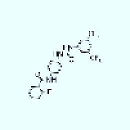 O=C(Nc1ccc(NC(=O)c2ccccc2F)cc1)Nc1cc(C(F)(F)F)cc(C(F)(F)F)c1